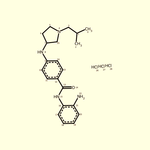 CC(C)CN1CCC(Nc2ccc(C(=O)Nc3ccccc3N)cc2)C1.Cl.Cl.Cl